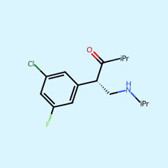 CC(C)NC[C@@H](C(=O)C(C)C)c1cc(F)cc(Cl)c1